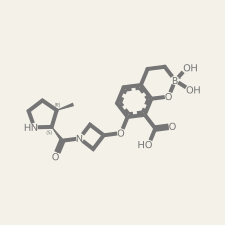 C[C@@H]1CCN[C@@H]1C(=O)N1CC(Oc2ccc3c(c2C(=O)O)O[B-](O)(O)CC3)C1